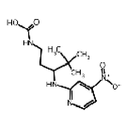 CC(C)(C)C(CCNC(=O)O)Nc1cc([N+](=O)[O-])ccn1